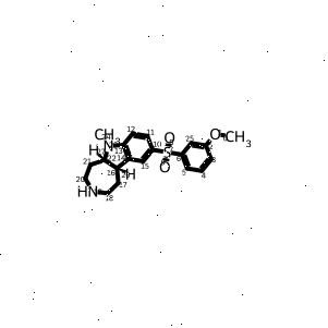 COc1cccc(S(=O)(=O)c2ccc3c(c2)[C@@H]2CCNCC[C@@H]2N3C)c1